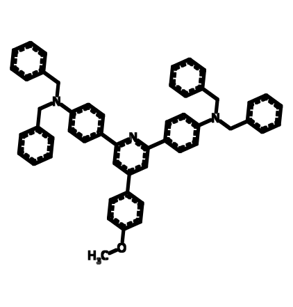 COc1ccc(-c2cc(-c3ccc(N(Cc4ccccc4)Cc4ccccc4)cc3)nc(-c3ccc(N(Cc4ccccc4)Cc4ccccc4)cc3)c2)cc1